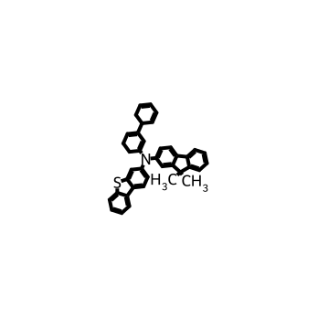 CC1(C)c2ccccc2-c2ccc(N(C3=CC(C4C=CC=CC4)=CCC3)c3ccc4c(c3)sc3ccccc34)cc21